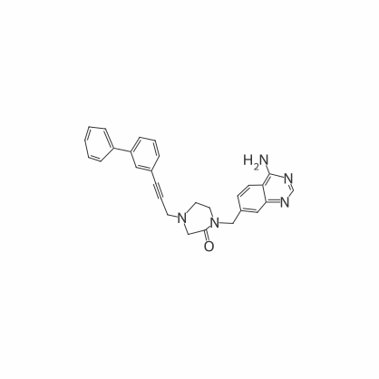 Nc1ncnc2cc(CN3CCN(CC#Cc4cccc(-c5ccccc5)c4)CC3=O)ccc12